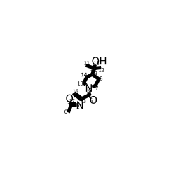 Cc1nc(C(=O)N2CCC(C(C)(C)O)CC2)co1